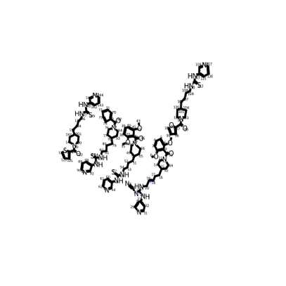 COc1cccc(OC)c1C(=O)N1CCC(CC/C=C/CN/C(=N\C#N)Nc2ccncc2)CC1.COc1cccc(OC)c1C(=O)N1CCC(CCCCNC(=S)Nc2cccnc2)CC1.O=C(c1ccccc1)N1CCC(CCCCNC(=S)Nc2cccnc2)CC1.O=C(c1ccco1)N1CCC(CCCCNC(=S)Nc2cccnc2)CC1.O=C(c1cccs1)N1CCC(CCCCNC(=S)Nc2cccnc2)CC1